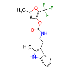 Cc1cc(OC(=O)NCCc2c(C)[nH]c3ccccc23)c(C(F)(F)F)o1